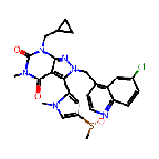 Cn1cc([S+](C)[O-])cc1-c1c2c(=O)n(C)c(=O)n(CC3CC3)c2nn1Cc1ccnc2ccc(Cl)cc12